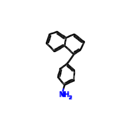 Nc1ccc(-c2cccc3ccccc23)cc1